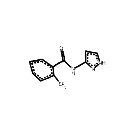 O=C(Nc1cc[nH]n1)c1ccccc1C(F)(F)F